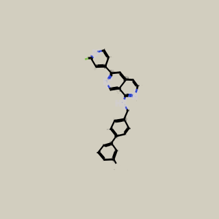 Cc1cccc(-c2ccc(CNc3nccc4cc(-c5ccnc(F)c5)ncc34)cc2)c1